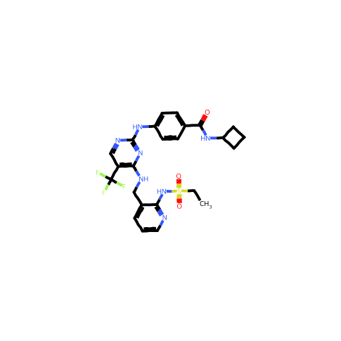 CCS(=O)(=O)Nc1ncccc1CNc1nc(Nc2ccc(C(=O)NC3CCC3)cc2)ncc1C(F)(F)F